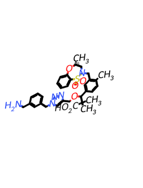 Cc1ccc(C(OCc2cn(Cc3cccc(CN)c3)nn2)C(C)(C)C(=O)O)cc1CN1C[C@@H](C)Oc2ccccc2S1(=O)=O